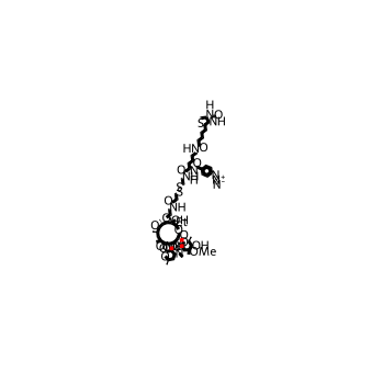 CC[C@H]1OC(=O)[C@H](C)[C@@H](O[C@H]2C[C@@](C)(OC)[C@@H](O)[C@H](C)O2)[C@H](C)[C@@H](O[C@@H]2O[C@H](C)C[C@H](N(C)C)[C@H]2O)[C@](C)(OC)C[C@@H](C)C(=O)[C@H](C)[C@@H](OCCNC(=O)CCSSCCNC(=O)C(CCCCNC(=O)CCCCC2SCC3NC(=O)NC32)NC(=O)c2ccc(N=[N+]=[N-])cc2)[C@]1(C)O